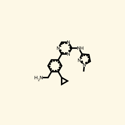 Cn1ccc(Nc2ncnc(-c3ccc(CN)c(C4CC4)c3)n2)n1